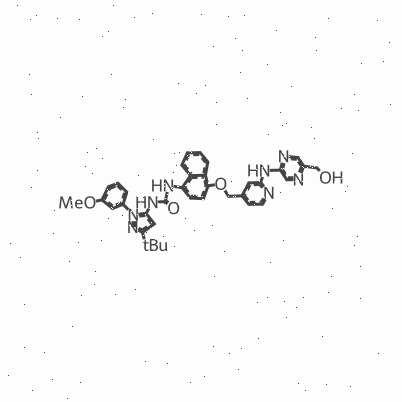 COc1cccc(-n2nc(C(C)(C)C)cc2NC(=O)Nc2ccc(OCc3ccnc(Nc4cnc(CO)cn4)c3)c3ccccc23)c1